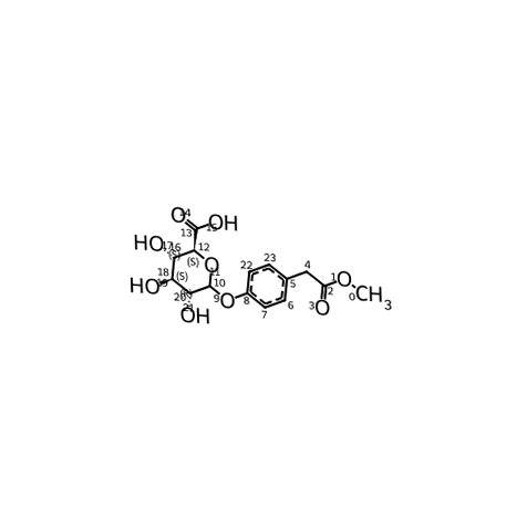 COC(=O)Cc1ccc(OC2O[C@H](C(=O)O)[C@@H](O)[C@H](O)[C@H]2O)cc1